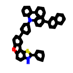 c1ccc(-c2ccccc2N(c2ccc(-c3ccc4ccccc4c3)cc2)c2ccc(-c3ccc4oc5ccc6c(c5c4c3)SC(c3ccccc3)N6)cc2)cc1